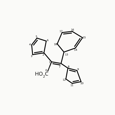 O=C(O)C(C1=CC=CC1)=C(C1=CC=CC1)C1C=CC=CC1